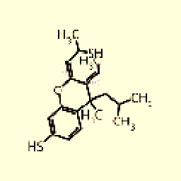 C/C=C1\C(=C/C(C)S)Oc2cc(S)ccc2C1(C)CC(C)C